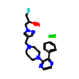 Cl.OC(CF)Cn1cc(CN2CCN(c3nccnc3-c3ccccc3)CC2)cn1